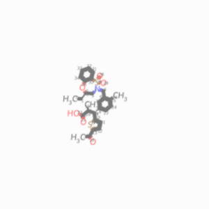 CC[C@@H]1CN(Cc2cc([C@H](c3ccc(C(C)=O)s3)[C@H](C)C(=O)O)ccc2C)S(=O)(=O)c2ccccc2O1